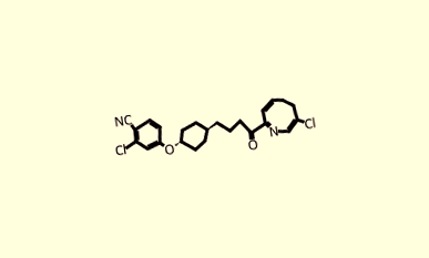 N#Cc1ccc(O[C@H]2CC[C@H](CCCC(=O)C3=N/C=C(/Cl)CC/C=C\3)CC2)cc1Cl